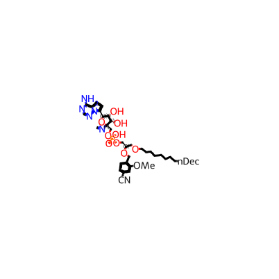 C=N[C@]1(COP(=O)(O)OC[C@@H](COCCCCCCCCCCCCCCCCCC)OCc2ccc(C#N)cc2OC)O[C@@H](c2ccc3c(N)ncnn23)[C@H](O)[C@@H]1O